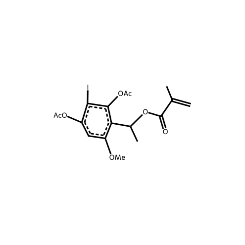 C=C(C)C(=O)OC(C)c1c(OC)cc(OC(C)=O)c(I)c1OC(C)=O